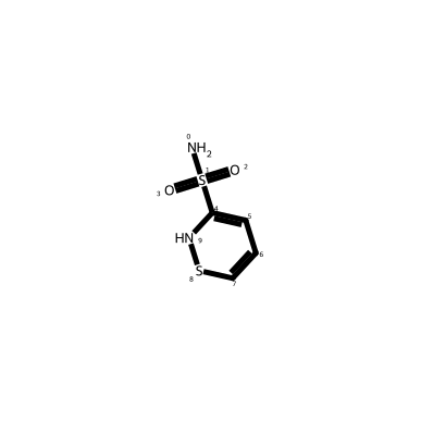 NS(=O)(=O)C1=CC=CSN1